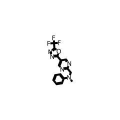 CN(Cc1ncc(-c2nnc(C(F)(F)F)o2)cn1)c1ccccc1